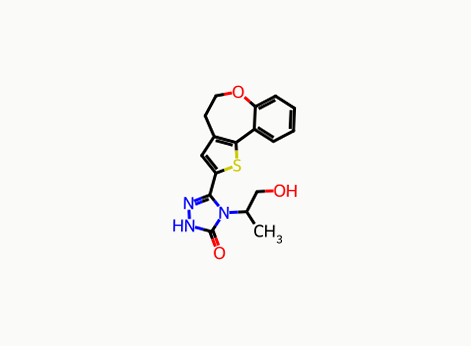 CC(CO)n1c(-c2cc3c(s2)-c2ccccc2OCC3)n[nH]c1=O